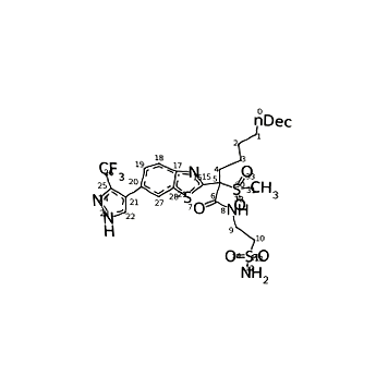 CCCCCCCCCCCCCCC(C(=O)NCCS(N)(=O)=O)(c1nc2ccc(-c3c[nH]nc3C(F)(F)F)cc2s1)S(C)(=O)=O